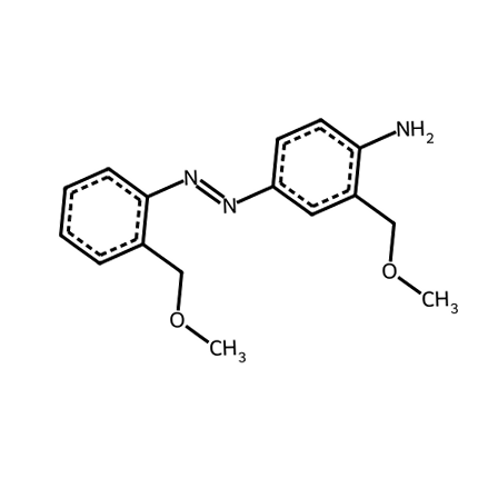 COCc1cc(N=Nc2ccccc2COC)ccc1N